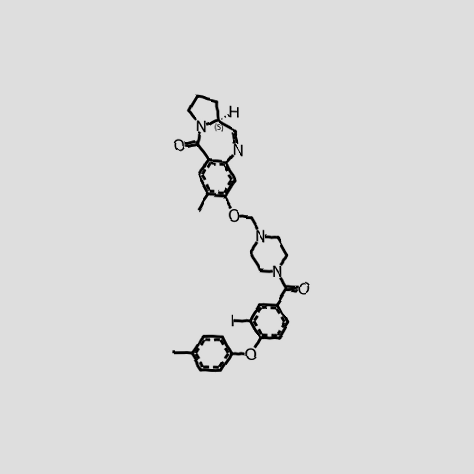 Cc1ccc(Oc2ccc(C(=O)N3CCN(COc4cc5c(cc4C)C(=O)N4CCC[C@H]4C=N5)CC3)cc2I)cc1